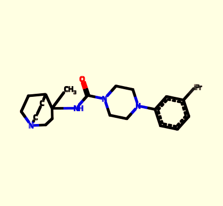 CC(C)c1cccc(N2CCN(C(=O)NC3(C)CCN4CCC3CC4)CC2)c1